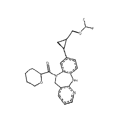 O=C(C1CCCCO1)N1Cc2cccnc2Nc2ccc(C3CC3COC(F)F)cc21